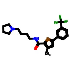 Cc1cc(-c2cccc(C(F)(F)F)c2)sc1C(=O)NCCCCN1CCCC1